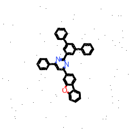 c1ccc(-c2cc(-c3ccccc3)cc(-c3nc(-c4ccccc4)cc(-c4ccc5c(c4)oc4ccccc45)n3)c2)cc1